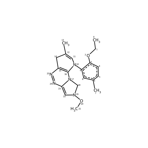 CCOc1ccc(C)cc1N1C=C(C)CC2=C1N1CN(OC)C=C1N=N2